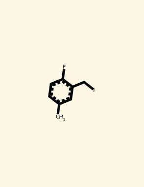 Cc1ccc(F)c(CI)c1